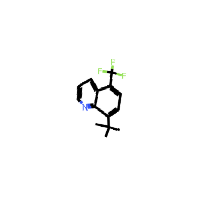 CC(C)(C)c1ccc(C(F)(F)F)c2cccnc12